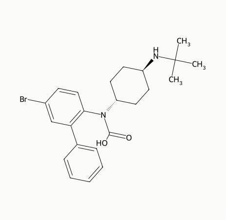 CC(C)(C)N[C@H]1CC[C@H](N(C(=O)O)c2ccc(Br)cc2-c2ccccc2)CC1